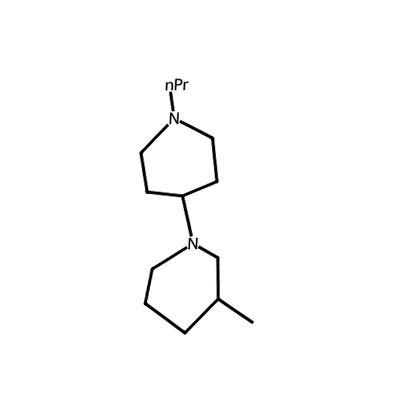 CCCN1CCC(N2CCCC(C)C2)CC1